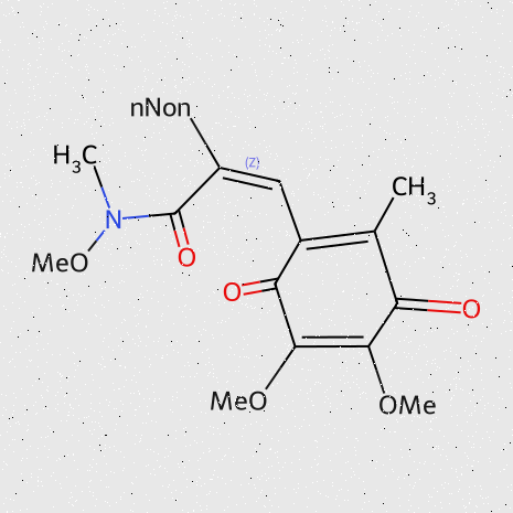 CCCCCCCCC/C(=C/C1=C(C)C(=O)C(OC)=C(OC)C1=O)C(=O)N(C)OC